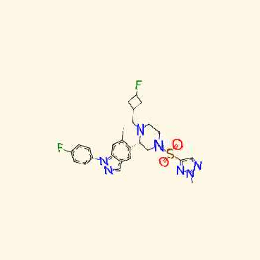 Cc1cc2c(cnn2-c2ccc(F)cc2)cc1[C@H]1CN(S(=O)(=O)c2cnn(C)n2)CCN1CC1CC(F)C1